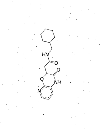 O=C(CC1Oc2ncccc2NC1=O)NCC1CCCCC1